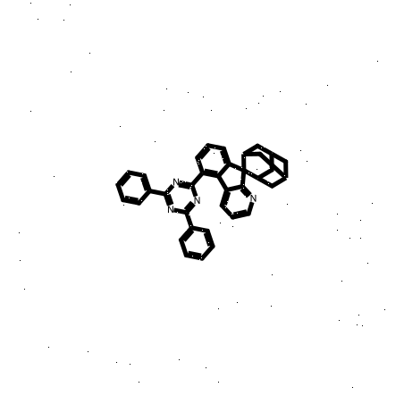 c1ccc(-c2nc(-c3ccccc3)nc(-c3cccc4c3-c3cccnc3C43C4CC5CC(C4)CC3C5)n2)cc1